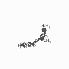 COc1ccc(CN2CCn3c(CCO/C=C/C(=O)N4CCN(c5ncc(C(F)(F)F)cn5)CC4)cc(C)c3C2=O)cc1